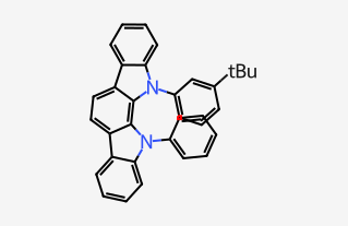 CC(C)(C)c1cccc(-n2c3ccccc3c3ccc4c5ccccc5n(-c5ccccc5)c4c32)c1